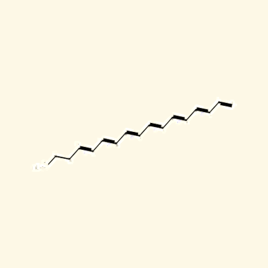 [CH]=C/C=C/C=C/C=C/C=C/C=C/C=C/CCCCCCCCCCCC